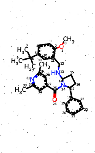 COc1ccc(C(C)(C)C)cc1CNC1CCC(c2ccccc2)N1C(=O)c1cc(C)nc(C)c1